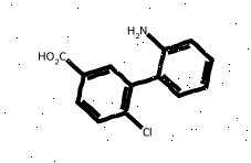 Nc1ccccc1-c1cc(C(=O)O)ccc1Cl